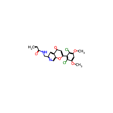 C=CC(=O)NCc1cc2c(=O)cc(-c3c(Cl)c(OC)cc(OC)c3Cl)oc2cn1